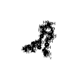 CCC(C)C(C(CC(=O)N1CCCC1C(OC)C(C)C(=O)N[C@@H](Cc1ccccc1)C(=O)NCCc1ccc(NC(=O)C(CCCNC(N)=O)NC(=O)[C@H](NC(=O)C[C@@H]2O[C@H](CNC(=O)CCCCCNC(=O)CCC(NC(=O)c3ccc(NCc4cnc5nc(N)[nH]c(=O)c5n4)cc3)C(=O)O)C(O)C2O)C(C)C)cc1)OC)N(C)C(=O)[C@@H](NC(=O)C(C(C)C)N(C)C)C(C)C